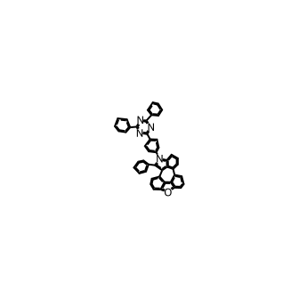 c1ccc(-c2nc(-c3ccccc3)nc(-c3ccc(-n4c(-c5ccccc5)c5c6c(cccc64)-c4cccc6oc7cccc-5c7c46)cc3)n2)cc1